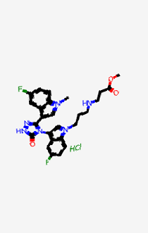 COC(=O)CCNCCCn1cc(-n2c(-c3cn(C)c4ccc(F)cc34)n[nH]c2=O)c2cc(F)ccc21.Cl